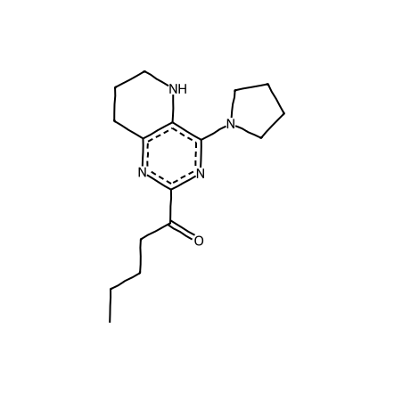 CCCCC(=O)c1nc2c(c(N3CCCC3)n1)NCCC2